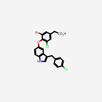 O=C(O)Cc1cc(Cl)c(Oc2ccc3[nH]cc(Cc4ccc(Cl)cc4)c3c2)c(Br)c1